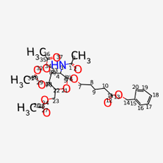 CC(=O)NC1[C@H](OCCCCC(=O)OCc2ccccc2)OC(COC(C)=O)[C@H](OC(C)=O)[C@@H]1OC(C)=O